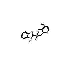 Cc1c(Cl)ccnc1CS(=O)(=O)c1nc2ccccc2[nH]1